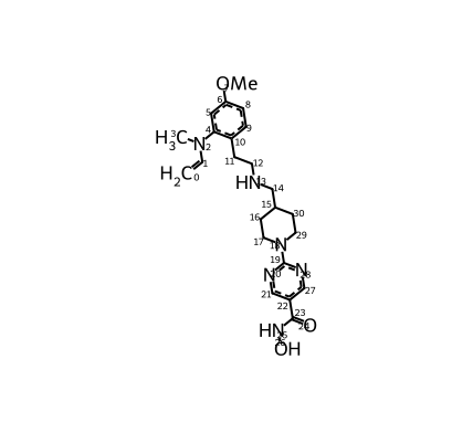 C=CN(C)c1cc(OC)ccc1CCNCC1CCN(c2ncc(C(=O)NO)cn2)CC1